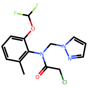 Cc1cccc(OC(F)F)c1N(Cn1cccn1)C(=O)CCl